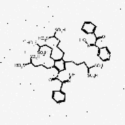 O=C(C(=NO)c1ccccc1)c1cc(CCCC(S(=O)(=O)O)S(=O)(=O)O)c(CCCC(S(=O)(=O)O)S(=O)(=O)O)c(CCCC(S(=O)(=O)O)S(=O)(=O)O)c1CCCC(S(=O)(=O)O)S(=O)(=O)O.O=C(C(=NO)c1ccccc1)c1ccccc1